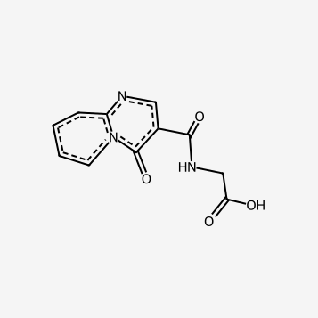 O=C(O)CNC(=O)c1cnc2ccccn2c1=O